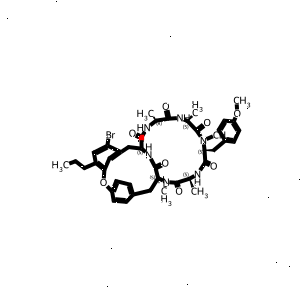 CCCc1cc(Br)c2cc1Oc1ccc(cc1)C[C@H]1C(=O)N[C@@H](C2)C(=O)N[C@H](C)C(=O)N[C@@H](C)C(=O)N(C)[C@@H](Cc2ccc(OC)cc2)C(=O)N[C@@H](C)C(=O)N1C